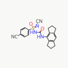 N#CN=S(=O)(NC(=O)Nc1c2c(cc3c1CCC3)CCC2)c1ccc(C#N)cc1